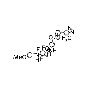 COc1ccc(CNc2c(F)c(F)c(S(=O)(=O)Nc3ccc(C(=O)c4ccc5c(-c6cc7ncn(C)c7cc6C(F)(F)F)cccn45)cc3)c(F)c2F)cc1